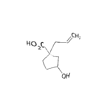 C=CCC1(C(=O)O)CCC(O)C1